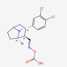 CN1C2CC[C@@H]1[C@H](C=NOC(=O)O)[C@@H](c1ccc(Cl)c(Cl)c1)C2